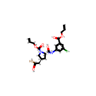 C=CCOC(=O)c1cc(F)cc(NC(=O)[C@@H]2C[C@@H](CC(=O)S)CN2C(=O)OCC=C)c1